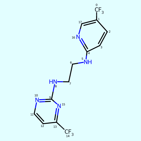 FC(F)(F)c1ccc(NCCNc2nccc(C(F)(F)F)n2)nc1